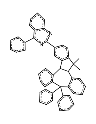 CC1(C)c2ccc(-c3nc(-c4ccccc4)c4ccccc4n3)cc2C2c3ccccc3C(c3ccccc3)(c3ccccc3)c3ccccc3C21